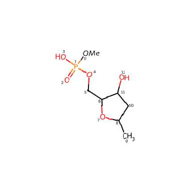 COP(=O)(O)OCC1OC(C)CC1O